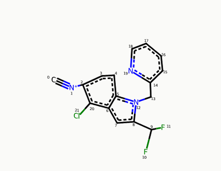 [C-]#[N+]c1ccc2c(cc(C(F)F)n2Cc2ccccn2)c1Cl